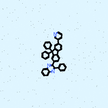 c1ccc(-c2nc3ccccc3nc2-c2ccc3c(c2)C(c2ccccc2)(c2ccccc2)c2cc(-c4cccnc4)ccc2-3)cc1